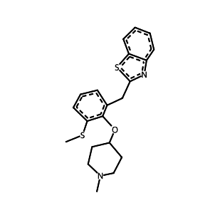 CSc1cccc(Cc2nc3ccccc3s2)c1OC1CCN(C)CC1